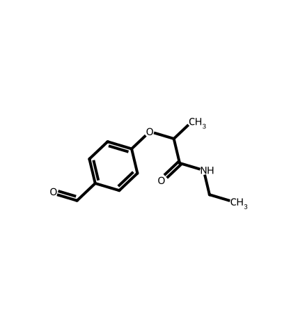 CCNC(=O)C(C)Oc1ccc(C=O)cc1